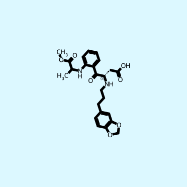 COC(=O)C(C)Nc1ccccc1C(=O)[C@H](CC(=O)O)NCCCc1ccc2c(c1)OCO2